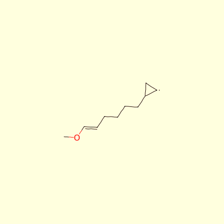 COC=CCCCCC1[CH]C1